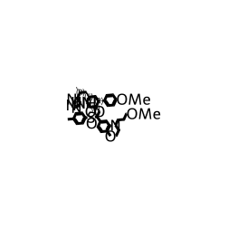 COCCCN1CCOc2ccc(C(O[C@H]3CN[C@@H](C[C@@H](C)c4nnn[nH]4)C[C@@H]3c3ccc(OC)cc3)S(=O)(=O)c3ccc(C)cc3)cc21